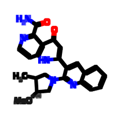 CO[C@@H]1CN(c2nc3ccccc3cc2-c2cc(=O)c3c(C(N)=O)nccc3[nH]2)CC1C